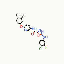 O=C(Nc1ccc(O[C@H]2CC[C@H](C(=O)O)CC2)nc1)c1nnc(Nc2ccc(Cl)c(F)c2)o1